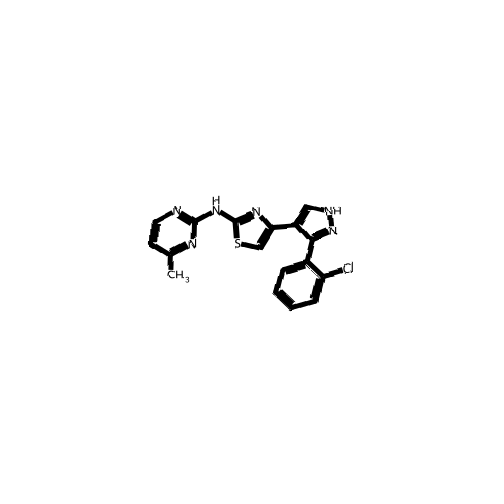 Cc1ccnc(Nc2nc(-c3c[nH]nc3-c3ccccc3Cl)cs2)n1